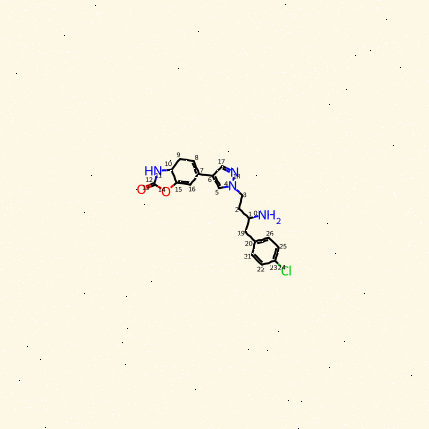 NC(CCn1cc(C2=CCC3NC(=O)OC3=C2)cn1)Cc1ccc(Cl)cc1